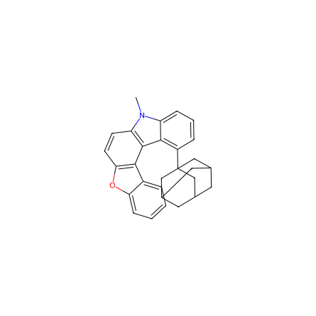 Cn1c2cccc(C34CC5CC(CC(C5)C3)C4)c2c2c3c(ccc21)oc1ccccc13